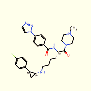 CN1CCN(C(=O)[C@H](CCCCN[C@@H]2C[C@H]2c2ccc(F)cc2)NC(=O)c2ccc(-n3ccnn3)cc2)CC1